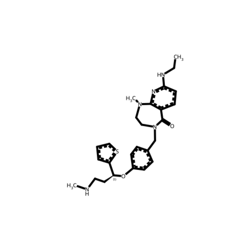 CCNc1ccc2c(n1)N(C)CCN(Cc1ccc(O[C@@H](CCNC)c3cccs3)cc1)C2=O